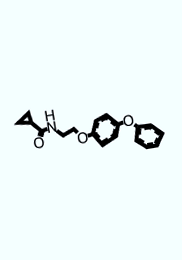 O=C(NCCOc1ccc(Oc2ccccc2)cc1)C1CC1